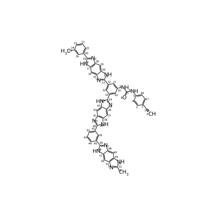 C#Cc1ccc(NC(=O)Nc2cc(-c3nc4cc5[nH]c(-c6cccc(C)c6)nc5cc4[nH]3)cc(-c3nc4cc5[nH]c(-c6cccc(-c7nc8cc9[nH]c(C)nc9cc8[nH]7)c6)nc5cc4[nH]3)c2)cc1